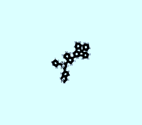 c1ccc(-c2nc(-c3ccc4ccncc4c3)cc(-c3ccc(-c4ccc5c(c4)-c4ccccc4C5(c4ccccc4)c4ccccc4)c4ccccc34)n2)cc1